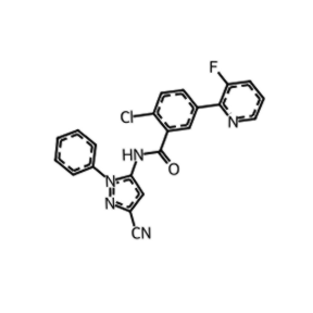 N#Cc1cc(NC(=O)c2cc(-c3ncccc3F)ccc2Cl)n(-c2ccccc2)n1